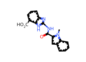 Cn1c(C(=O)Nc2nc3cccc(C(=O)O)c3[nH]2)cc2ccccc21